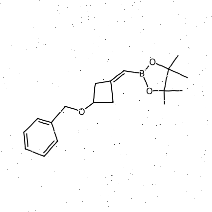 CC1(C)OB(C=C2CC(OCc3ccccc3)C2)OC1(C)C